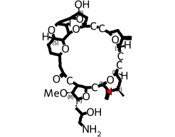 C=C1CC2CCC34C[C@@H](O)C(O3)C3O[C@H]5CCC(CC(=O)CC6C(C[C@H]7O[C@@H](CC[C@@H]1O2)C[C@@H](C)C7=C)O[C@H](CC(O)CN)[C@@H]6OC)OC5C(O4)C3I